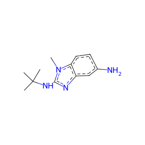 Cn1c(NC(C)(C)C)nc2cc(N)ccc21